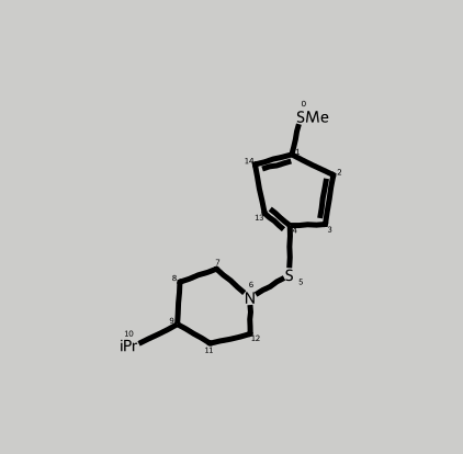 CSc1ccc(SN2CCC(C(C)C)CC2)cc1